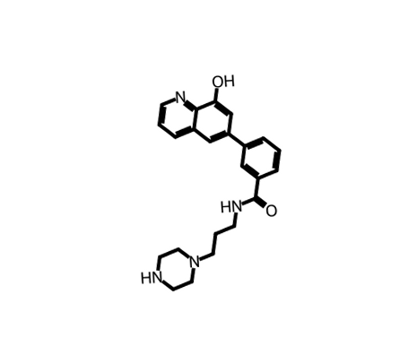 O=C(NCCCN1CCNCC1)c1cccc(-c2cc(O)c3ncccc3c2)c1